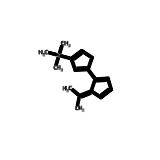 CC(C)=C1C=CC=C1C1=CC([Si](C)(C)C)=CC1